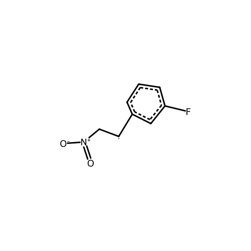 O=[N+]([O-])C[CH]c1cccc(F)c1